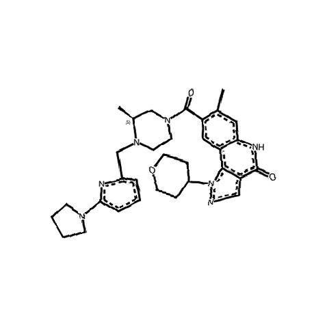 Cc1cc2[nH]c(=O)c3cnn(C4CCOCC4)c3c2cc1C(=O)N1CCN(Cc2cccc(N3CCCC3)n2)[C@@H](C)C1